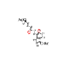 CC(=O)O[C@H](C)CCCC(=O)CCC1C(=O)CCC2C1C[C@@H](C)[C@@H]2OC(C)=O